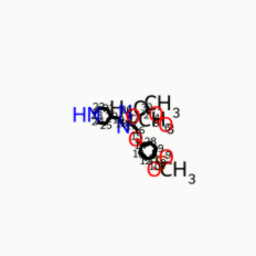 CC(C)(C)OC=O.CS(=O)(=O)c1ccc(OCc2nc(C3CCNCC3)no2)cc1